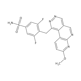 COc1ccc2c(ncc3cnnc(Cc4c(F)cc(S(N)(=O)=O)cc4F)c32)n1